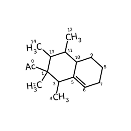 CC(=O)C1(C)C(C)C2=CCCCC2C(C)C1C